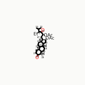 CCC1=C([C@H](OC(C)=O)[C@@H](C)[C@H]2[C@@H](OC(C)=O)C[C@@]3(C)[C@@H]4CC[C@H]5[C@H](C)C(=O)C=C[C@@]56C[C@@]46CC[C@]23C)OCC1C